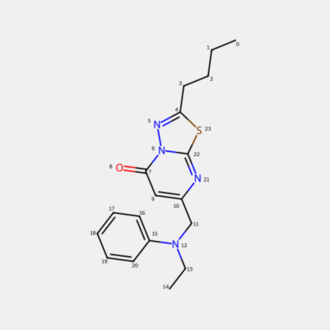 CCCCc1nn2c(=O)cc(CN(CC)c3ccccc3)nc2s1